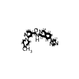 CN1CCN(c2cc(C(=O)Nc3cc4cc(-n5cncn5)ccc4cn3)ccn2)CC1